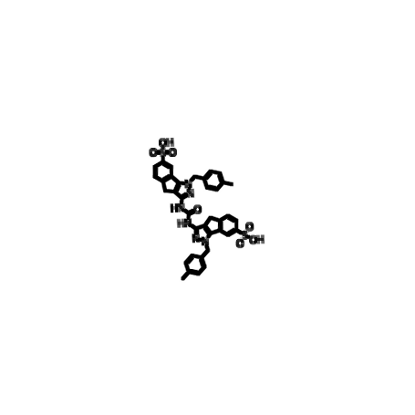 Cc1ccc(Cn2nc(NC(=O)Nc3nn(Cc4ccc(C)cc4)c4c3Cc3ccc(S(=O)(=O)O)cc3-4)c3c2-c2cc(S(=O)(=O)O)ccc2C3)cc1